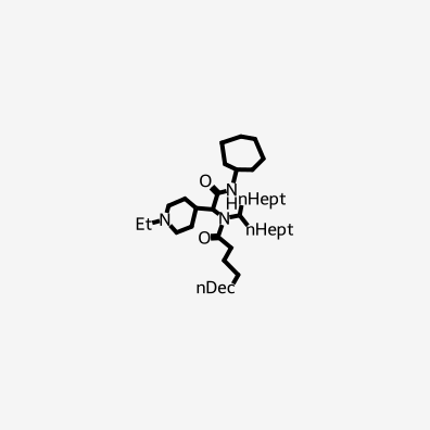 CCCCCCCCCCCCCC(=O)N(C(CCCCCCC)CCCCCCC)C(C(=O)NC1CCCCCC1)C1CCN(CC)CC1